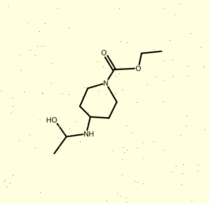 CCOC(=O)N1CCC(NC(C)O)CC1